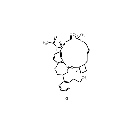 CCCc1cc(Cl)ccc1C1COc2ccc3cc2N(C1)C[C@@H]1CCC1C/C=C/COC(C)(C)C(=O)N=S3(=O)NC(C)=O